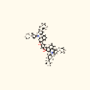 c1ccc2c(c1)c(N(c1ccc(C3CCCCC3)cc1)c1ccc(C3CCCCC3)cc1)cc1oc3cc4oc5cc(N(c6ccc(C7CCCCC7)cc6)c6ccc(C7CCCCC7)cc6)c6ccccc6c5c4cc3c12